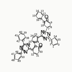 c1ccc(-c2nc(-c3ccc4oc5ccccc5c4c3)nc(-c3cccc4c3oc3cccc(-c5nc(-c6ccccc6)nc(-c6ccccc6)n5)c34)n2)cc1